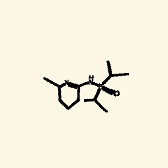 CC1CCCC(NP(=O)(C(C)C)C(C)C)=N1